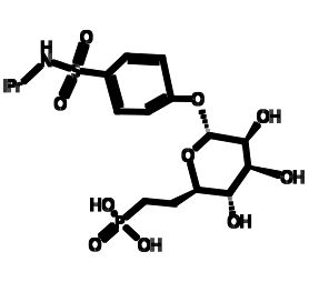 CC(C)NS(=O)(=O)c1ccc(O[C@H]2O[C@H](CCP(=O)(O)O)[C@@H](O)[C@H](O)[C@@H]2O)cc1